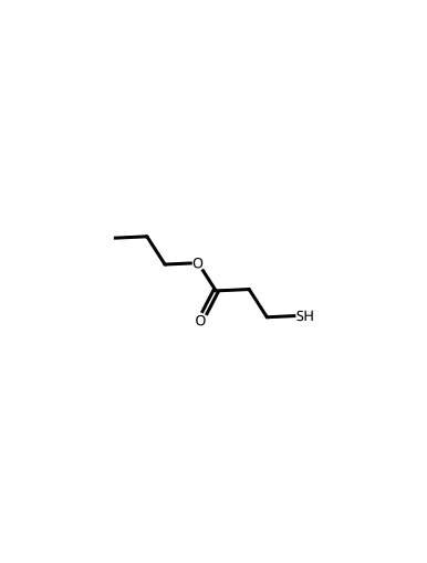 CCCOC(=O)CCS